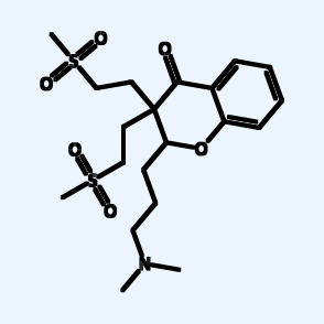 CN(C)CCCC1Oc2ccccc2C(=O)C1(CCS(C)(=O)=O)CCS(C)(=O)=O